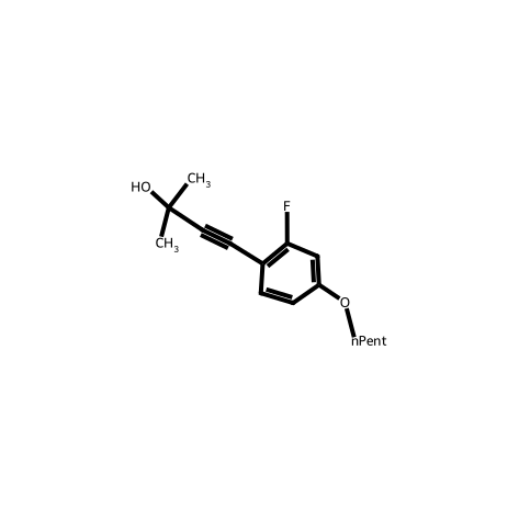 CCCCCOc1ccc(C#CC(C)(C)O)c(F)c1